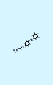 NCCCOc1ccc(/N=N/c2ccccc2)cc1